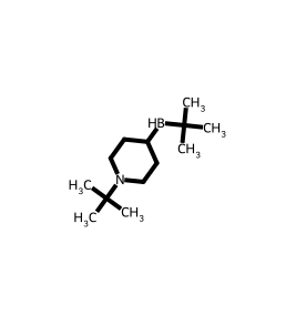 CC(C)(C)BC1CCN(C(C)(C)C)CC1